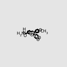 COc1ccc(N(Cc2ccc(C(=O)NN)cn2)C(=O)N2CCS(=O)(=O)CC2)cc1